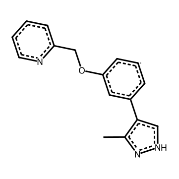 Cc1n[nH]cc1-c1c[c]cc(OCc2ccccn2)c1